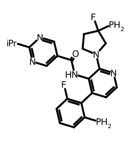 CC(C)c1ncc(C(=O)Nc2c(-c3c(F)cccc3P)ccnc2N2CCC(F)(P)C2)cn1